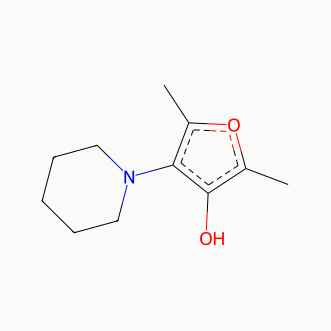 Cc1oc(C)c(N2CCCCC2)c1O